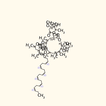 CC/C=C\C/C=C\C/C=C\C/C=C\C/C=C\C/C=C\CCC(=O)N(C)[C@H]1C[C@@H](C)O[C@@H](O[C@@H]2[C@@H](C)[C@H](O[C@H]3C[C@@](C)(OC)[C@@H](O)[C@H](C)O3)[C@@H](C)C(=O)O[C@H](CC)[C@@](C)(O)[C@H](O)[C@@H](C)N(C)C[C@H](C)C[C@@]2(C)O)[C@@H]1O